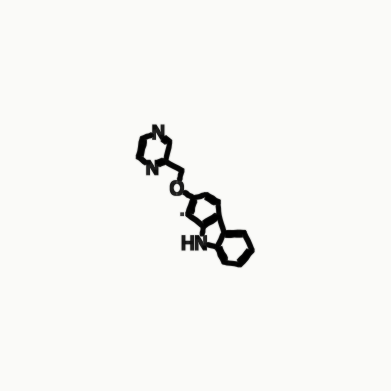 [c]1c(OCc2cnccn2)ccc2c1[nH]c1ccccc12